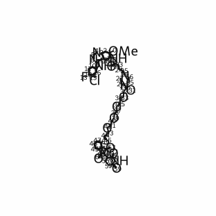 COc1cc2ncnc(Nc3ccc(F)c(Cl)c3)c2cc1NC(=O)/C=C/CN1CCN(C(=O)COCCOCCOCCOCCSc2cccc3c2C(=O)N(C2CCC(=O)NC2=O)C3=O)CC1